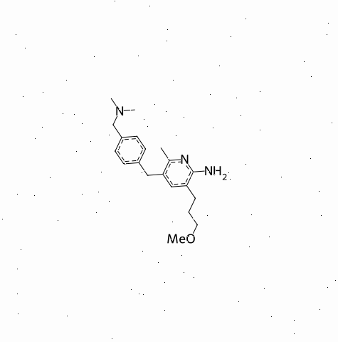 COCCCc1cc(Cc2ccc(CN(C)C)cc2)c(C)nc1N